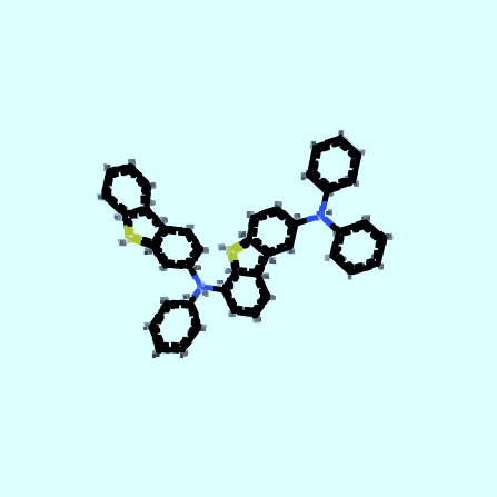 c1ccc(N(c2ccccc2)c2ccc3sc4c(N(c5ccccc5)c5ccc6c(c5)sc5ccccc56)cccc4c3c2)cc1